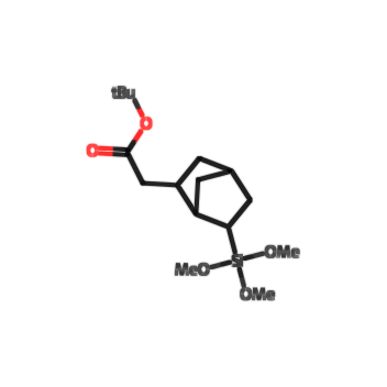 CO[Si](OC)(OC)C1CC2CC(CC(=O)OC(C)(C)C)C1C2